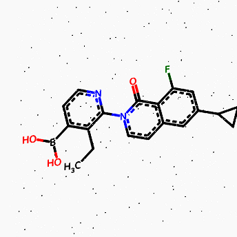 CCc1c(B(O)O)ccnc1-n1ccc2cc(C3CC3)cc(F)c2c1=O